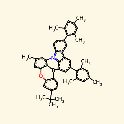 Cc1cc(C)c(-c2ccc3c(c2)c2cc(-c4c(C)cc(C)cc4C)cc4c2n3-c2cc(C)cc3c2B4c2ccc(C(C)(C)C)cc2O3)c(C)c1